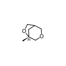 C[C@@]12COCC(CO1)C2